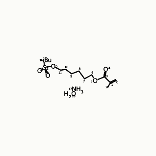 C=C(C)C(=O)OCCCCCCOS(=O)(=O)C(C)CC.N.O